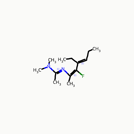 CC/C=C(CC)/C(F)=C(C)\N=C(/C)N(C)C